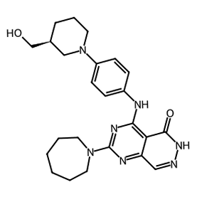 O=c1[nH]ncc2nc(N3CCCCCC3)nc(Nc3ccc(N4CCC[C@H](CO)C4)cc3)c12